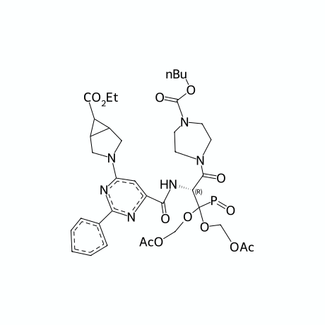 CCCCOC(=O)N1CCN(C(=O)[C@@H](NC(=O)c2cc(N3CC4C(C3)C4C(=O)OCC)nc(-c3ccccc3)n2)C(OCOC(C)=O)(OCOC(C)=O)P=O)CC1